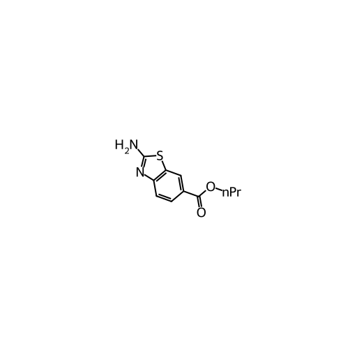 CCCOC(=O)c1ccc2nc(N)sc2c1